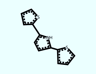 c1csc(-c2ccc(-c3cccs3)[nH]2)c1